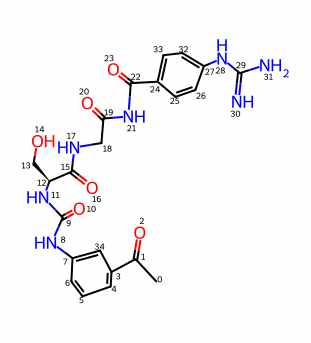 CC(=O)c1cccc(NC(=O)N[C@@H](CO)C(=O)NCC(=O)NC(=O)c2ccc(NC(=N)N)cc2)c1